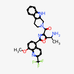 COc1ccc(-c2nc(C(=O)N3CCc4c([nH]c5ccccc45)C3)c([C@H](C)N)o2)c2ccc(C(F)(F)F)nc12